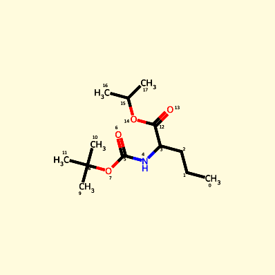 CCCC(NC(=O)OC(C)(C)C)C(=O)OC(C)C